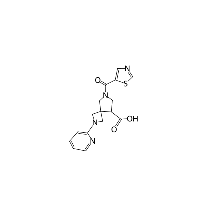 O=C(O)C1CN(C(=O)c2cncs2)CC12CN(c1ccccn1)C2